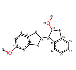 COc1ccc2c(c1)CC(C1c3ccccc3CC1OC)C2